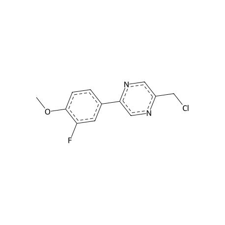 COc1ccc(-c2cnc(CCl)cn2)cc1F